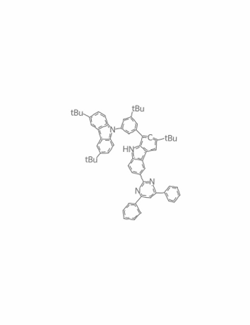 CC(C)(C)c1cc(-c2cc(C(C)(C)C)cc3c2[nH]c2ccc(-c4nc(-c5ccccc5)cc(-c5ccccc5)n4)cc23)cc(-n2c3ccc(C(C)(C)C)cc3c3cc(C(C)(C)C)ccc32)c1